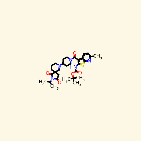 Cc1ccc2c(C(=O)N3CCC(N4CCCC5(CC(=O)N(C(C)C)C5=O)C4)CC3)c(NC(=O)OC(C)(C)C)sc2n1